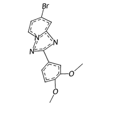 COc1ccc(-c2nc3cc(Br)ccn3n2)cc1OC